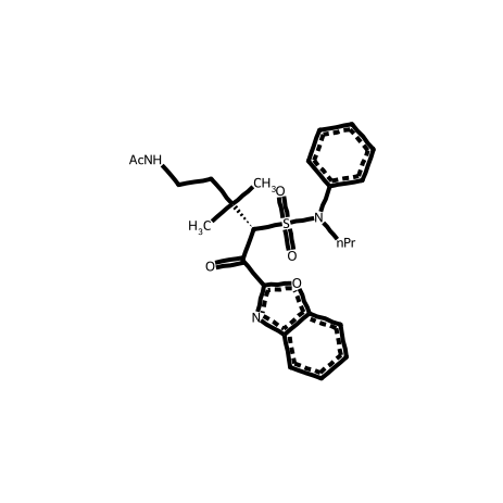 CCCN(c1ccccc1)S(=O)(=O)[C@H](C(=O)c1nc2ccccc2o1)C(C)(C)CCNC(C)=O